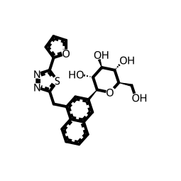 OC[C@H]1O[C@@H](c2cc(Cc3nnc(-c4ccco4)s3)c3ccccc3c2)[C@H](O)[C@@H](O)[C@@H]1O